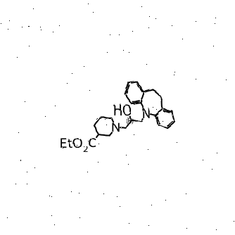 CCOC(=O)C1CCCN(C[C@@H](O)CN2c3ccccc3CCc3ccccc32)C1